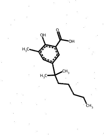 CCCCCC(C)(C)c1cc(C)c(O)c(C(=O)O)c1